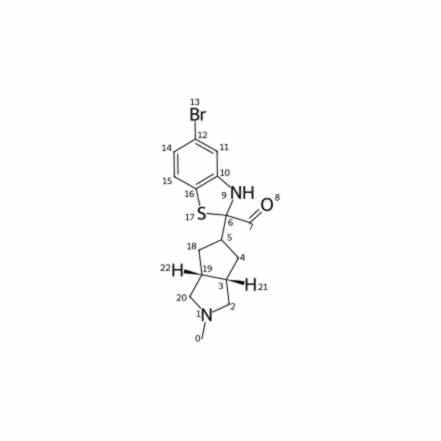 CN1C[C@H]2CC(C3(C=O)Nc4cc(Br)ccc4S3)C[C@H]2C1